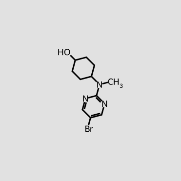 CN(c1ncc(Br)cn1)C1CCC(O)CC1